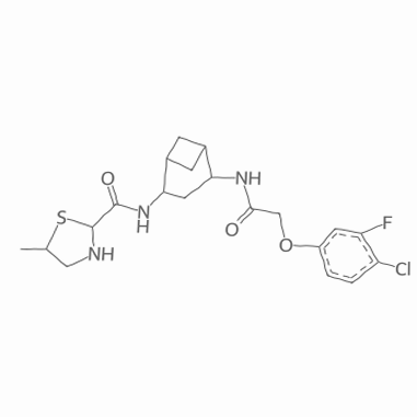 CC1CNC(C(=O)NC2CC(NC(=O)COc3ccc(Cl)c(F)c3)C3CC2C3)S1